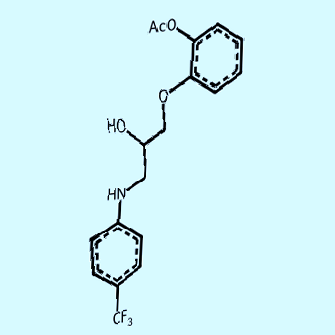 CC(=O)Oc1ccccc1OCC(O)CNc1ccc(C(F)(F)F)cc1